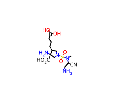 CN(C(C#N)CN)S(=O)(=O)N1C[C@H](CCCB(O)O)[C@](N)(C(=O)O)C1